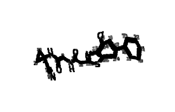 N#CC1(NC(=O)CNC(=O)Cc2nc3c(Cl)cc(-c4ccccc4)cc3s2)CC1